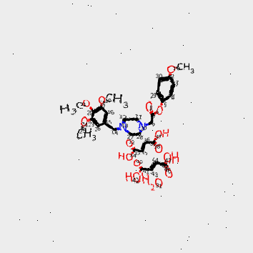 COc1ccc(OC(=O)CN2CCN(Cc3cc(OC)c(OC)c(OC)c3)CC2)cc1.O.O=C(O)C=CC(=O)O.O=C(O)C=CC(=O)O